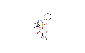 CC(Br)C(=O)OC1C2CC3C1N(C1CCCCC1)S(=O)(=O)C3C2